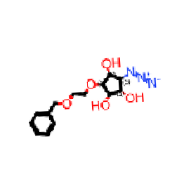 [N-]=[N+]=N[C@@H]1[C@@H](O)[C@H](OCCOCc2ccccc2)C(O)[C@H]1O